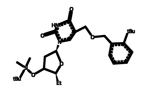 CC[C@H]1O[C@@H](n2cc(COCc3ccccc3C(C)(C)C)c(=O)[nH]c2=O)CC1O[Si](C)(C)C(C)(C)C